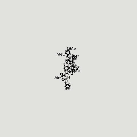 COC(=O)[C@H](CCN(C(=O)[C@H]1O[C@@H](n2cc(-c3ccn(C)n3)c3c(NCc4ccc(OC)cc4OC)ncnc32)[C@@H]2OC(C)(C)O[C@@H]21)C1CCN(C)CC1)NC(=O)OCc1ccccc1